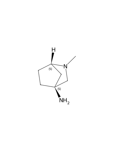 CN1C[C@]2(N)CC[C@H]1C2